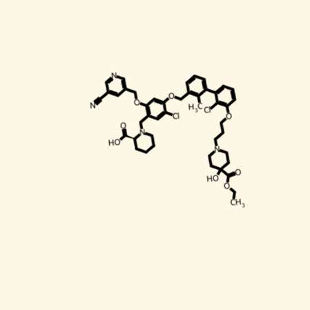 CCOC(=O)C1(O)CCN(CCCOc2cccc(-c3cccc(COc4cc(OCc5cncc(C#N)c5)c(CN5CCCC[C@H]5C(=O)O)cc4Cl)c3C)c2Cl)CC1